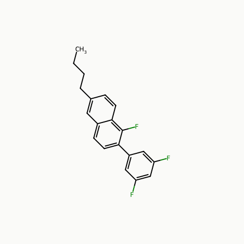 CCCCc1ccc2c(F)c(-c3cc(F)cc(F)c3)ccc2c1